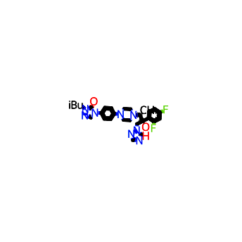 CCC(C)n1ncn(-c2ccc(N3CCN([C@H](C)[C@](O)(Cn4cncn4)c4ccc(F)cc4F)CC3)cc2)c1=O